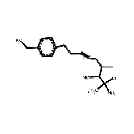 CCC(N)(C(=O)O)C(O)C(C)C/C=C/CCc1ccc(CC(F)(F)F)cc1